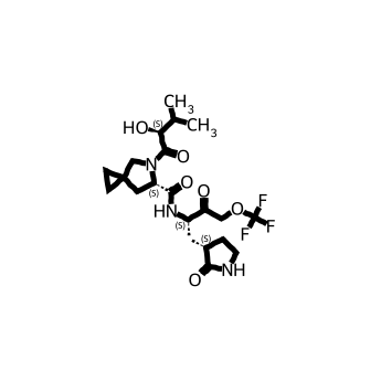 CC(C)[C@H](O)C(=O)N1CC2(CC2)C[C@H]1C(=O)N[C@@H](C[C@@H]1CCNC1=O)C(=O)COC(F)(F)F